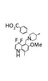 COc1cc(C)c2c(c1CN1CC[C@H](C)C[C@H]1c1ccc(C(=O)O)cc1)C(F)(F)C=CN2